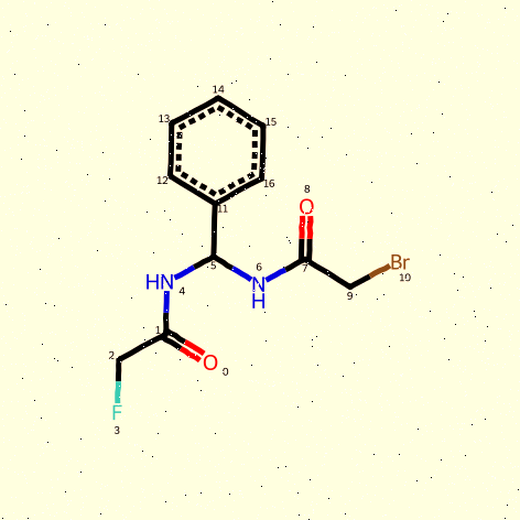 O=C(CF)NC(NC(=O)CBr)c1ccccc1